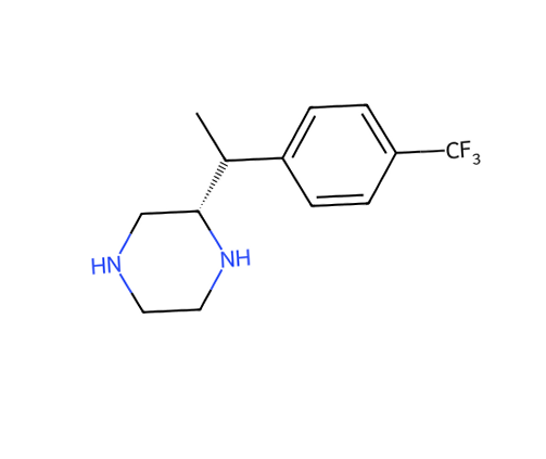 CC(c1ccc(C(F)(F)F)cc1)[C@H]1CNCCN1